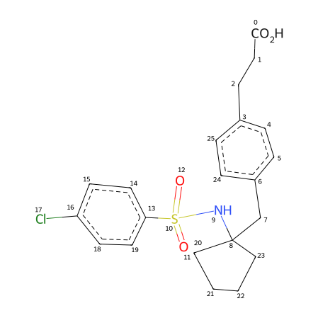 O=C(O)CCc1ccc(CC2(NS(=O)(=O)c3ccc(Cl)cc3)CCCC2)cc1